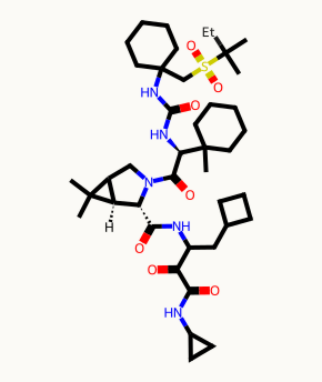 CCC(C)(C)S(=O)(=O)CC1(NC(=O)N[C@H](C(=O)N2CC3[C@@H]([C@H]2C(=O)NC(CC2CCC2)C(=O)C(=O)NC2CC2)C3(C)C)C2(C)CCCCC2)CCCCC1